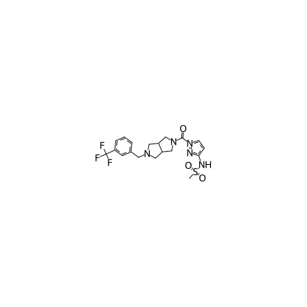 CS(=O)(=O)Nc1ccn(C(=O)N2CC3CN(Cc4cccc(C(F)(F)F)c4)CC3C2)n1